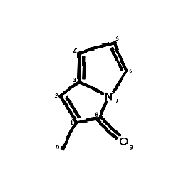 CC1=Cc2cccn2C1=O